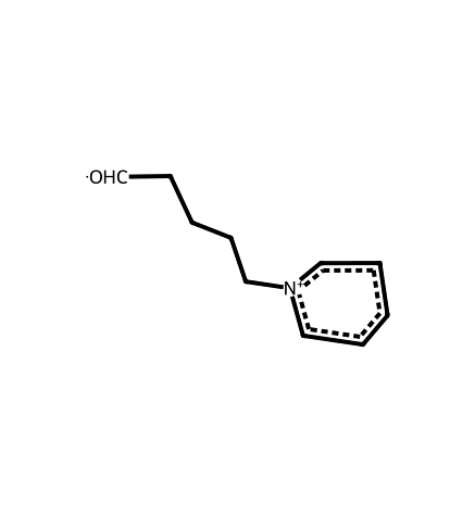 O=[C]CCCC[n+]1ccccc1